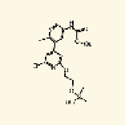 Cc1ncc(NC(=O)OC(C)(C)C)cc1-c1cc(Cl)nc(OCCO[Si](C)(C)C(C)(C)C)c1